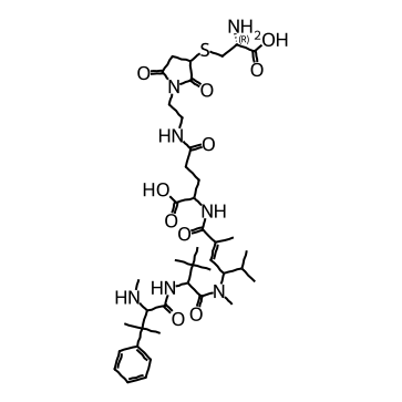 CNC(C(=O)NC(C(=O)N(C)C(C=C(C)C(=O)NC(CCC(=O)NCCN1C(=O)CC(SC[C@H](N)C(=O)O)C1=O)C(=O)O)C(C)C)C(C)(C)C)C(C)(C)c1ccccc1